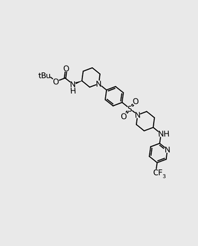 CC(C)(C)OC(=O)N[C@H]1CCCN(c2ccc(S(=O)(=O)N3CCC(Nc4ccc(C(F)(F)F)cn4)CC3)cc2)C1